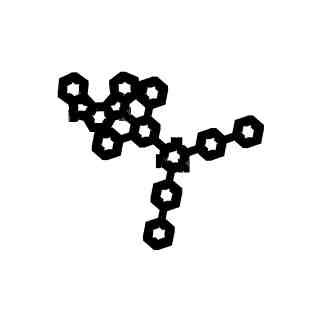 c1ccc(-c2ccc(-c3nc(-c4ccc(-c5ccccc5)cc4)nc(-c4cc(-c5ccccc5)c(-n5c6ccccc6c6c7c(ccc65)sc5ccccc57)c(-c5ccccc5)c4)n3)cc2)cc1